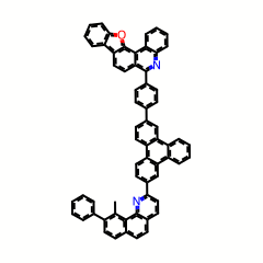 Cc1c(-c2ccccc2)ccc2ccc3ccc(-c4ccc5c6ccc(-c7ccc(-c8nc9ccccc9c9c8ccc8c%10ccccc%10oc89)cc7)cc6c6ccccc6c5c4)nc3c12